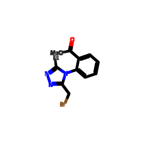 CCc1nnc(CBr)n1-c1ccccc1C(=O)OC